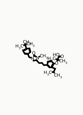 CC(C)Cc1cc(CCCC2CN(Cc3ccc(C(C)(C)C)cc3)C(=O)N2C)ccc1OC(C)(C)C(=O)O